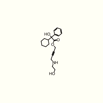 O=C(OCC#CCNCCO)C(O)(c1ccccc1)C1CCCCC1